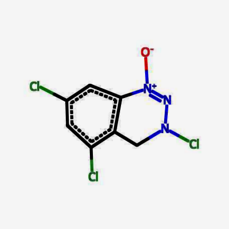 [O-][N+]1=NN(Cl)Cc2c(Cl)cc(Cl)cc21